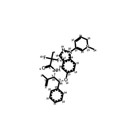 C=C(C)[C@H](NC(=O)C(C)(F)F)[C@H](Oc1ccc2c(cnn2C2=CN(C)CC=C2)c1)c1ccccc1